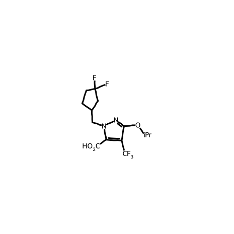 CC(C)Oc1nn(CC2CCC(F)(F)C2)c(C(=O)O)c1C(F)(F)F